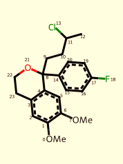 COc1cc2c(cc1OC)C(CCC(C)Cl)(c1ccc(F)cc1)OCC2